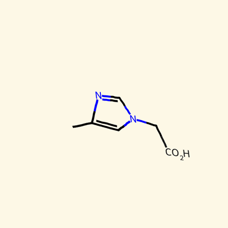 Cc1cn(CC(=O)O)cn1